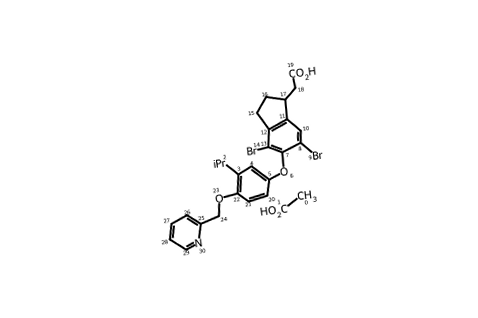 CC(=O)O.CC(C)c1cc(Oc2c(Br)cc3c(c2Br)CCC3CC(=O)O)ccc1OCc1ccccn1